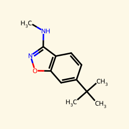 CNc1noc2cc(C(C)(C)C)ccc12